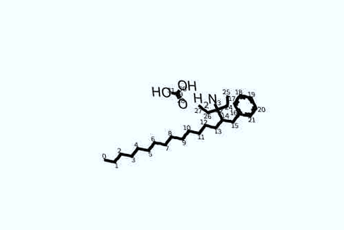 CCCCCCCCCCCCCCC(Cc1ccccc1)C(N)(CC)CC.O=C(O)O